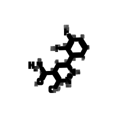 NC(=O)c1cc(-c2cccc(F)c2F)nnc1Cl